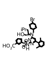 Cc1cccc(C)c1-c1cc(N(Cc2ccc(Br)cc2)[C@@H](CO)CC(C)C)nc(NS(=O)(=O)c2cccc(C(=O)O)c2)n1